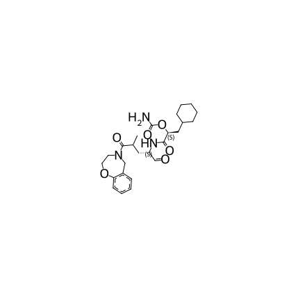 CC(C[C@@H](C=O)NC(=O)[C@H](CC1CCCCC1)OC(N)=O)C(=O)N1CCOc2ccccc2C1